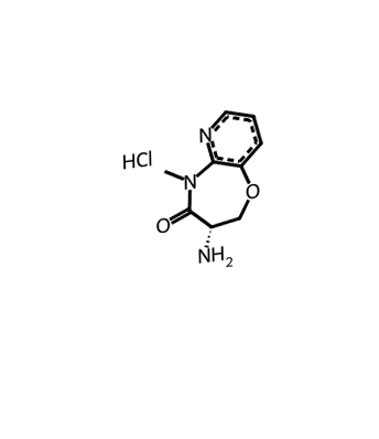 CN1C(=O)[C@@H](N)COc2cccnc21.Cl